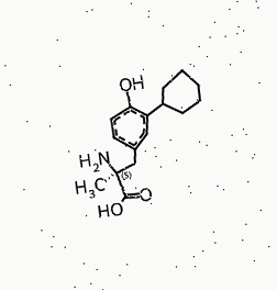 C[C@](N)(Cc1ccc(O)c(C2CCCCC2)c1)C(=O)O